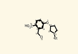 CCN1CC[C@@H](Oc2ccc(C(=O)O)c(CCl)c2)C1